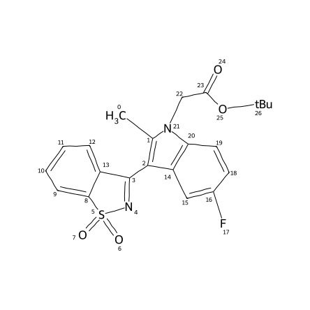 Cc1c(C2=NS(=O)(=O)c3ccccc32)c2cc(F)ccc2n1CC(=O)OC(C)(C)C